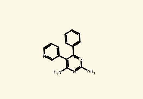 Nc1nc(N)c(-c2cccnc2)c(-c2ccccc2)n1